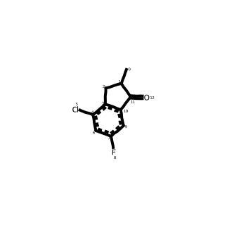 CC1Cc2c(Cl)cc(F)cc2C1=O